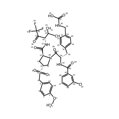 COc1ccc(CS(=O)(=O)[C@@H]2C[C@@H](C(=O)N[C@H](C(=O)C(F)(F)F)C(C)C)N(C(=O)[C@H](Cc3ccc(CNC(=O)O)cc3)NC(=O)c3cccc(Cl)c3)C2)cc1